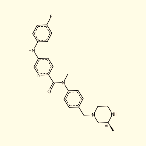 C[C@H]1CN(Cc2ccc(N(C)C(=O)c3ccc(Nc4ccc(F)cc4)cn3)cc2)CCN1